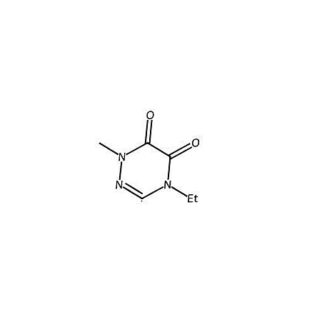 CCn1[c]nn(C)c(=O)c1=O